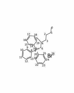 CCCCC(C)C[P+](c1ccccc1)(c1ccccc1)c1ccccc1.[Br-]